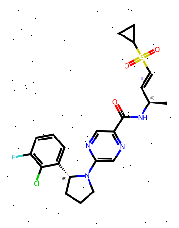 C[C@H](/C=C/S(=O)(=O)C1CC1)NC(=O)c1cnc(N2CCC[C@@H]2c2cccc(F)c2Cl)cn1